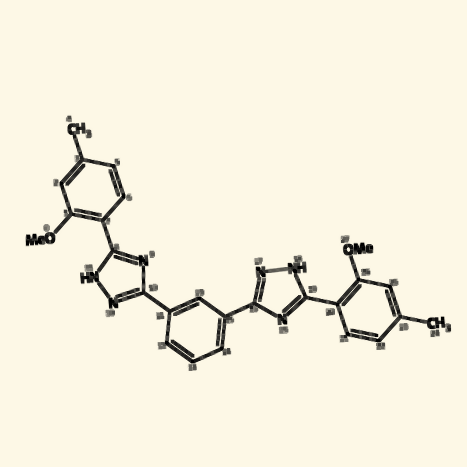 COc1cc(C)ccc1-c1nc(-c2cccc(-c3n[nH]c(-c4ccc(C)cc4OC)n3)c2)n[nH]1